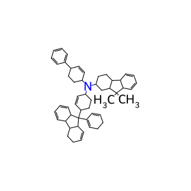 CC1(C)C2C=CC=CC2C2CCC(N(C3C=CC(c4ccccc4)CC3)C3C=CC(C4(C5=CCCC=C5)C5C=CC=CC5C5CCC=CC54)CC3)CC21